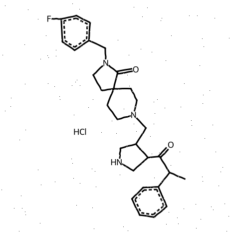 CC(C(=O)C1CNCC1CN1CCC2(CC1)CCN(Cc1ccc(F)cc1)C2=O)c1ccccc1.Cl